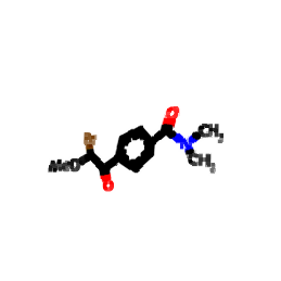 COC(Br)C(=O)c1ccc(C(=O)N(C)C)cc1